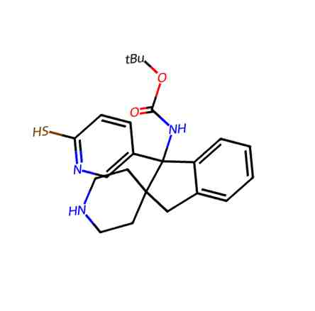 CC(C)(C)OC(=O)NC1(c2ccc(S)nc2)c2ccccc2CC12CCNCC2